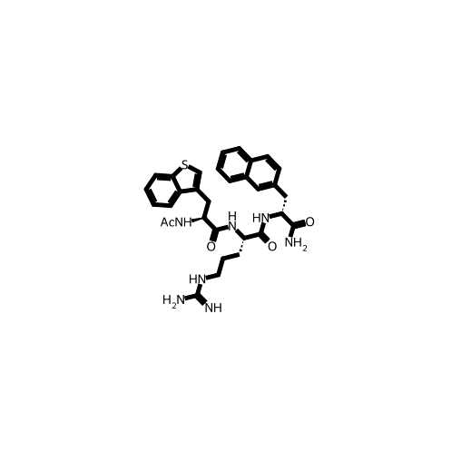 CC(=O)N[C@@H](Cc1csc2ccccc12)C(=O)N[C@@H](CCCNC(=N)N)C(=O)N[C@H](Cc1ccc2ccccc2c1)C(N)=O